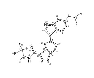 CC(C)Cc1ncc2c(-c3ccn4ncc(C(=O)NC(C)C(F)(F)F)c4c3)c[nH]c2n1